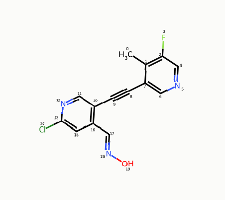 Cc1c(F)cncc1C#Cc1cnc(Cl)cc1/C=N/O